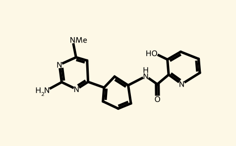 CNc1cc(-c2cccc(NC(=O)c3ncccc3O)c2)nc(N)n1